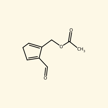 CC(=O)OCC1=CCC=C1C=O